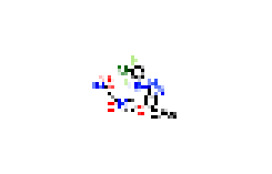 COc1cc2ncnc(Nc3ccc(F)c(Cl)c3F)c2cc1OC1CCN(C(=O)/C=C/C(=O)NO)CC1